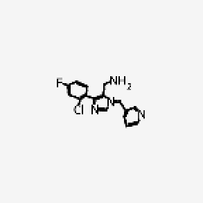 NCc1c(-c2ccc(F)cc2Cl)ncn1Cc1cccnc1